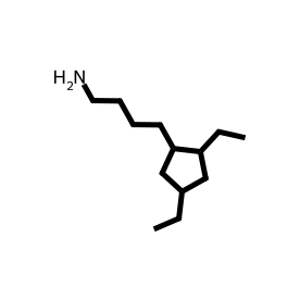 CCC1CC(CC)C(CCCCN)C1